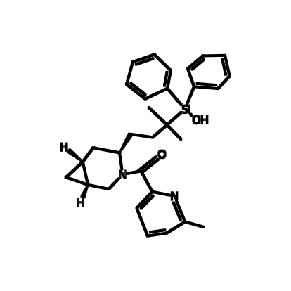 Cc1cccc(C(=O)N2C[C@@H]3C[C@@H]3C[C@H]2CCC(C)(C)[Si](O)(c2ccccc2)c2ccccc2)n1